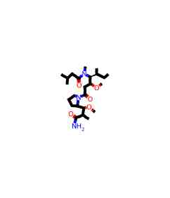 CCC(C)[C@@H](C(CC(=O)N1CCCC1C(OC)C(C)C(N)=O)OC)N(C)C(=O)CC(C)C